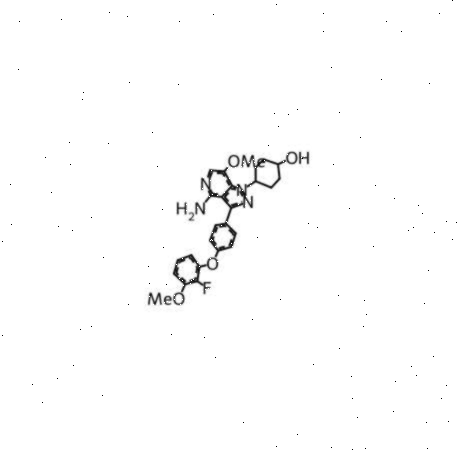 COc1cccc(Oc2ccc(-c3nn(C4CCC(O)CC4)c4c(OC)cnc(N)c34)cc2)c1F